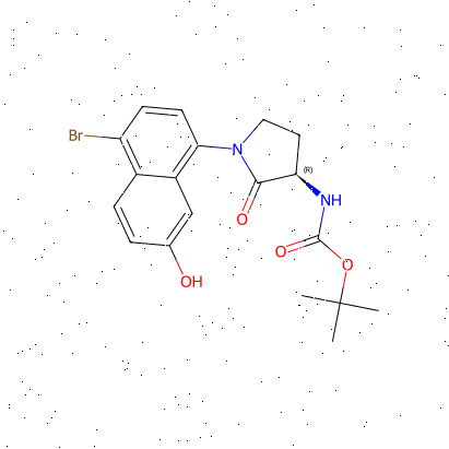 CC(C)(C)OC(=O)N[C@@H]1CCN(c2ccc(Br)c3ccc(O)cc23)C1=O